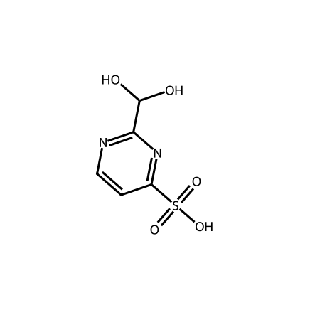 O=S(=O)(O)c1ccnc(C(O)O)n1